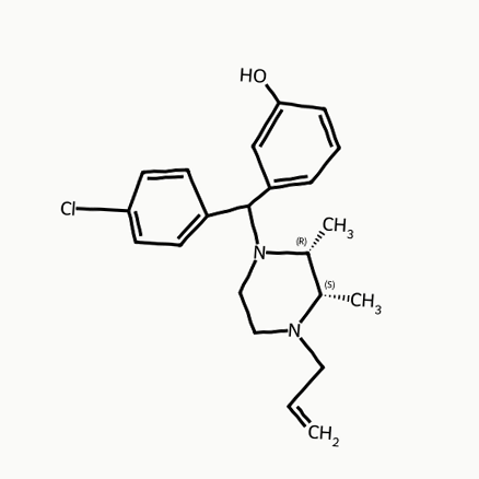 C=CCN1CCN(C(c2ccc(Cl)cc2)c2cccc(O)c2)[C@H](C)[C@@H]1C